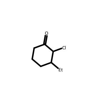 CCC1CCCC(=O)C1Cl